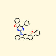 c1ccc(-c2nc(-n3c4ccccc4c4cc5ccc6c7ccccc7oc6c5cc43)nc3oc4ccccc4c23)cc1